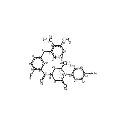 Cc1[c]nnc(Cc2ccc(F)c(C(=O)N3CC(=O)N(c4ccc(F)cc4)[C@H](C)C3)c2)c1C